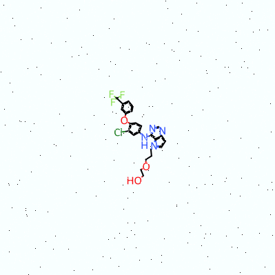 OCCOCCCn1ccc2ncnc(Nc3ccc(Oc4cccc(C(F)(F)F)c4)c(Cl)c3)c21